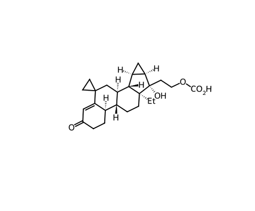 CC[C@]12CC[C@H]3[C@@H](CC4(CC4)C4=CC(=O)CC[C@@H]43)[C@@H]1[C@H]1C[C@H]1[C@@]2(O)CCOC(=O)O